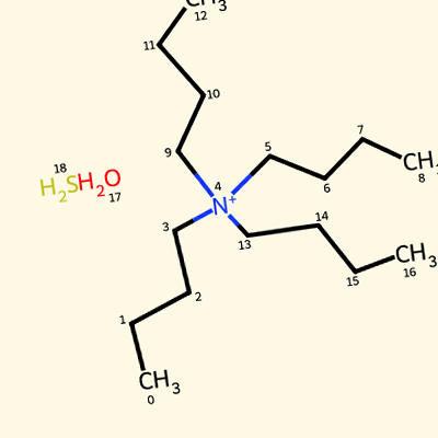 CCCC[N+](CCCC)(CCCC)CCCC.O.S